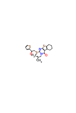 C=C(C)Cn1c(SCC(=O)c2cccs2)nc2sc3c(c2c1=O)CCCC3